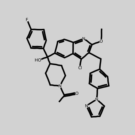 COc1nc2ccc(C(O)(c3ccc(F)cc3)C3CCN(C(C)=O)CC3)cc2c(Cl)c1Cc1ccc(-n2cccn2)cc1